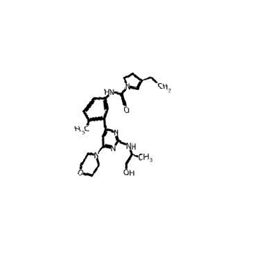 CC[C@@H]1CCN(C(=O)Nc2ccc(C)c(-c3cc(N4CCOCC4)nc(N[C@@H](C)CO)n3)c2)C1